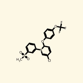 CS(=O)(=O)c1cccc(N2C=C(Cl)C=CC2Oc2ccc(OC(F)(F)F)cc2)c1